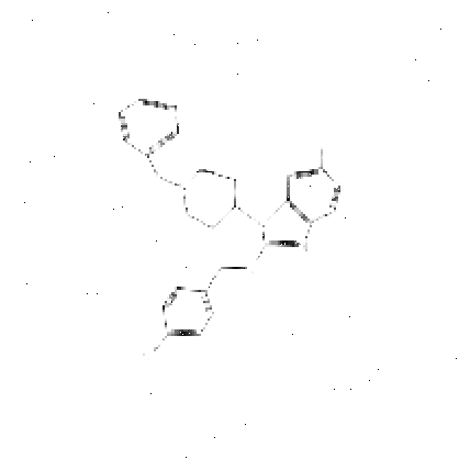 Clc1ccc(CSc2nc3ccc(Cl)cc3n2C2CCN(Cc3ccccc3)CC2)cc1